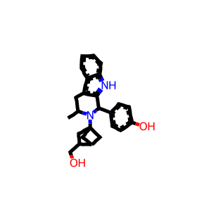 CC1Cc2c([nH]c3ccccc23)C(c2ccc(O)cc2)N1C12CC(CO)C(C1)C2